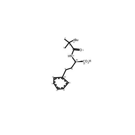 CC(C)(C)C(C)(C)C(=O)N[C@H](CCc1ccccc1)C(=O)O